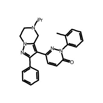 Cc1ccccc1-n1nc(-c2c(-c3ccccc3)nn3c2CN(C(C)C)CC3)ccc1=O